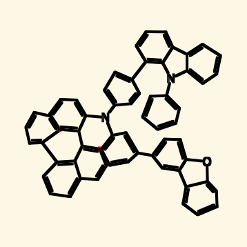 c1ccc(-c2cccc3cccc(-c4ccccc4N(c4ccc(-c5cccc6c7ccccc7n(-c7ccccc7)c56)cc4)c4cccc(-c5ccc6oc7ccccc7c6c5)c4)c23)cc1